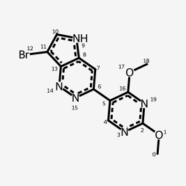 COc1ncc(-c2cc3[nH]cc(Br)c3nn2)c(OC)n1